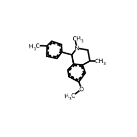 COc1ccc2c(c1)C(C)CN(C)C2c1ccc(C)cc1